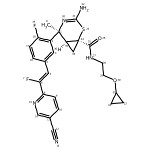 C[C@]1(c2cc(/C=C(\F)c3ccc(C#N)cn3)ccc2F)N=C(N)S[C@@]2(C(=O)NCCOC3CC3)C[C@H]21